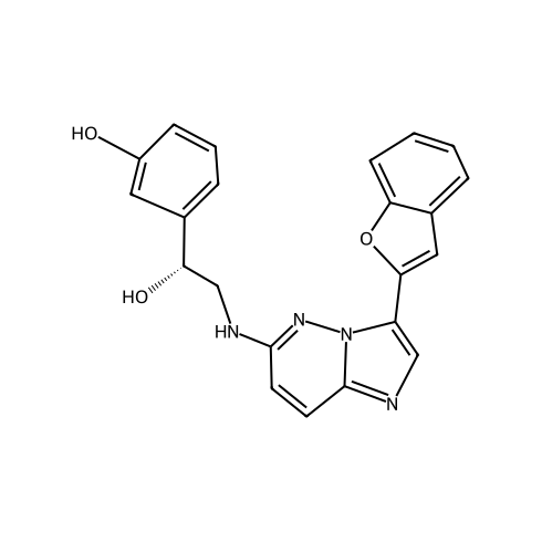 Oc1cccc([C@@H](O)CNc2ccc3ncc(-c4cc5ccccc5o4)n3n2)c1